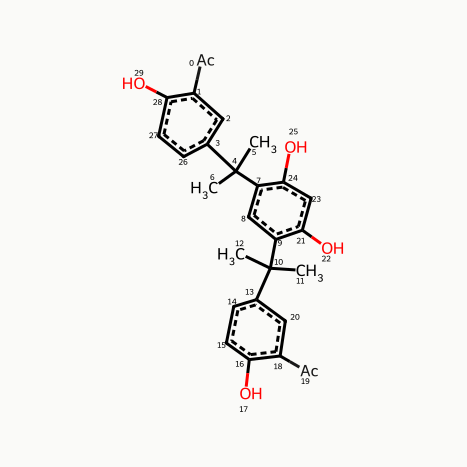 CC(=O)c1cc(C(C)(C)c2cc(C(C)(C)c3ccc(O)c(C(C)=O)c3)c(O)cc2O)ccc1O